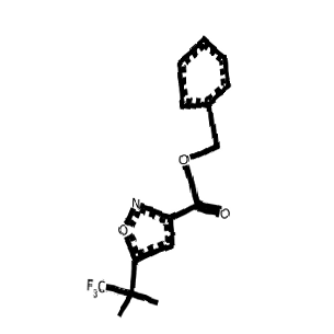 CC(C)(c1cc(C(=O)OCc2ccccc2)no1)C(F)(F)F